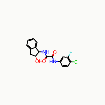 O=C(Nc1ccc(Cl)c(F)c1)C(=O)NC1c2ccccc2C[C@@H]1O